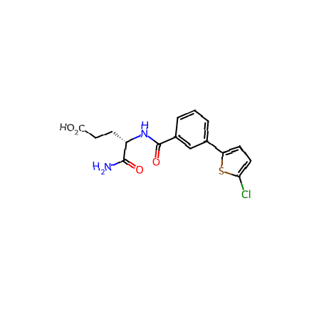 NC(=O)[C@H](CCC(=O)O)NC(=O)c1cccc(-c2ccc(Cl)s2)c1